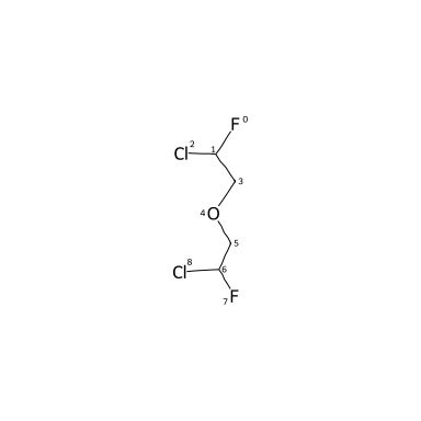 FC(Cl)COCC(F)Cl